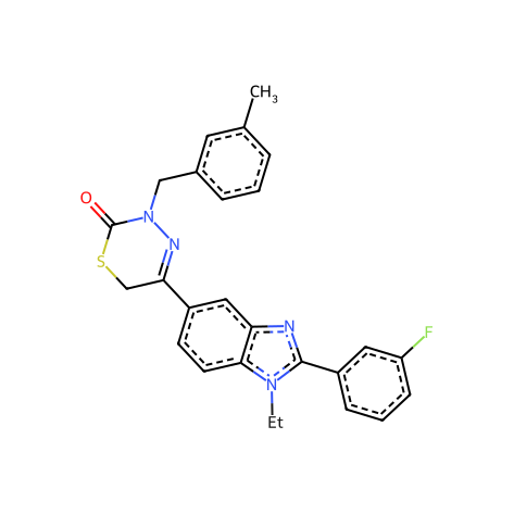 CCn1c(-c2cccc(F)c2)nc2cc(C3=NN(Cc4cccc(C)c4)C(=O)SC3)ccc21